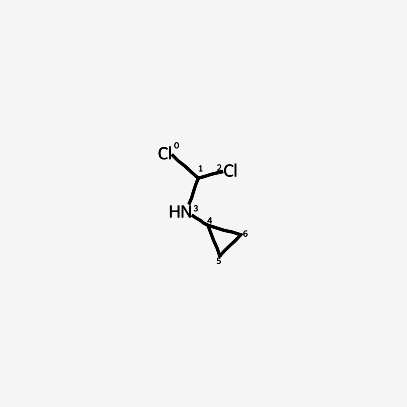 ClC(Cl)NC1CC1